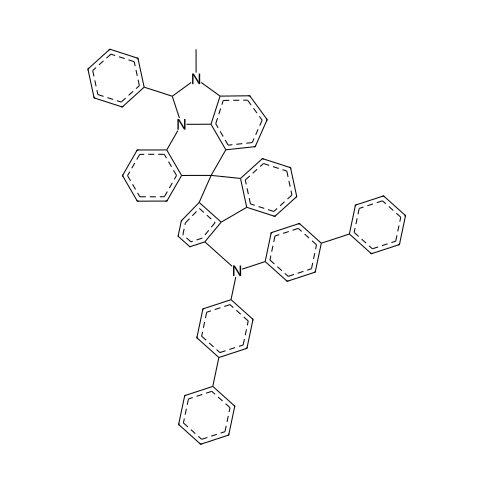 CN1c2cccc3c2N(c2ccccc2C32c3ccccc3-c3c(N(c4ccc(-c5ccccc5)cc4)c4ccc(-c5ccccc5)cc4)cccc32)C1c1ccccc1